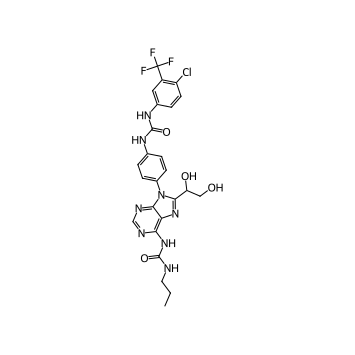 CCCNC(=O)Nc1ncnc2c1nc(C(O)CO)n2-c1ccc(NC(=O)Nc2ccc(Cl)c(C(F)(F)F)c2)cc1